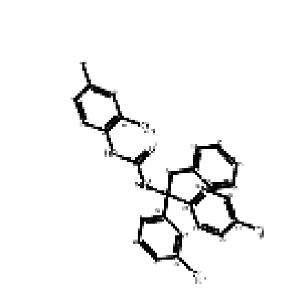 Cc1ccc(NC(=O)NC(Cc2ccccc2)(c2cccc(C(F)(F)F)c2)c2ccc(Cl)cn2)c(C(F)(F)F)c1